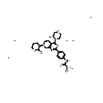 CCNC(=O)Nc1ccc(-c2nc3c(c(N4CCOC[C@@H]4C)n2)CCN(C2CCCOC2=O)C3)cc1